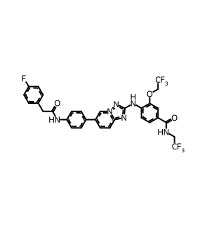 O=C(Cc1ccc(F)cc1)Nc1ccc(-c2ccc3nc(Nc4ccc(C(=O)NCC(F)(F)F)cc4OCC(F)(F)F)nn3c2)cc1